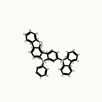 c1ccc(-n2c3cc(-n4c5ccccc5c5ccccc54)ccc3c3c4oc5ccccc5c4ccc32)cc1